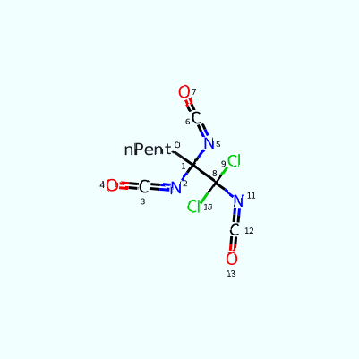 CCCCCC(N=C=O)(N=C=O)C(Cl)(Cl)N=C=O